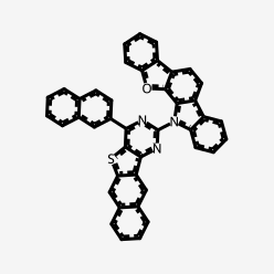 c1ccc2cc(-c3nc(-n4c5ccccc5c5ccc6c7ccccc7oc6c54)nc4c3sc3cc5ccccc5cc34)ccc2c1